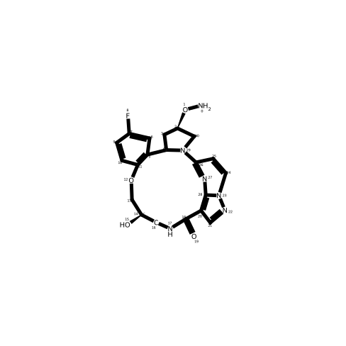 NO[C@@H]1CC2c3cc(F)ccc3OC[C@H](O)CNC(=O)c3cnn4ccc(nc34)N2C1